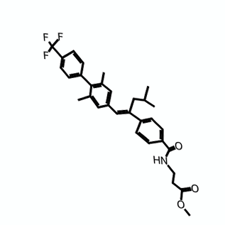 COC(=O)CCNC(=O)c1ccc(C(=Cc2cc(C)c(-c3ccc(C(F)(F)F)cc3)c(C)c2)CC(C)C)cc1